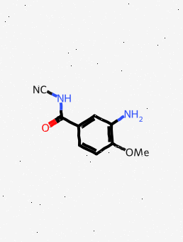 COc1ccc(C(=O)NC#N)cc1N